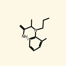 C=C(N)C(C)N(CCC)c1ccccc1C